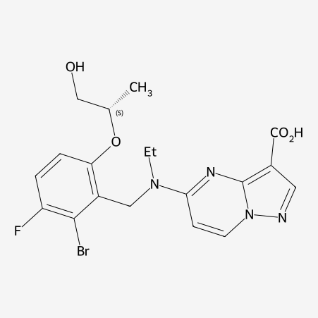 CCN(Cc1c(O[C@@H](C)CO)ccc(F)c1Br)c1ccn2ncc(C(=O)O)c2n1